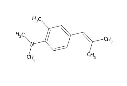 CC(C)=Cc1ccc(N(C)C)c(C)c1